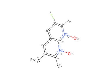 CCOC(=O)c1cc2cc(F)c(C)[n+]([O-])c2[n+]([O-])c1C(F)(F)F